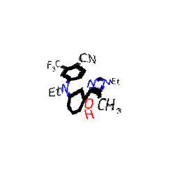 CCN(c1ccc(C#N)c(C(F)(F)F)c1)C1CCCC(O)(c2ncn(CC)c2C)C1